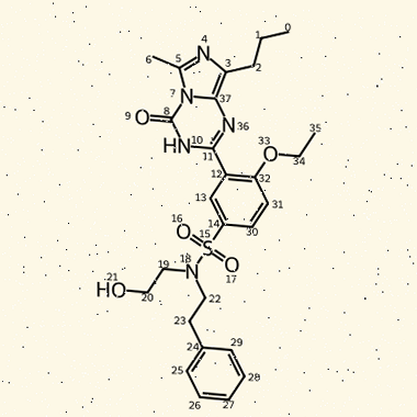 CCCc1nc(C)n2c(=O)[nH]c(-c3cc(S(=O)(=O)N(CCO)CCc4ccccc4)ccc3OCC)nc12